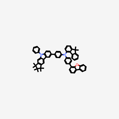 CC1(C)c2ccccc2-c2c(N(c3ccc(-c4ccc5c(c4)c4cc6c(cc4n5-c4ccccc4)C(C)(C)C(C)(C)C6(C)C)cc3)c3ccc(-c4cccc5c4oc4ccccc45)cc3)cccc21